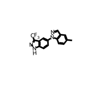 Cc1ccc2c(cnn2-c2ccc3[nH]nc(C(F)(F)F)c3c2)c1